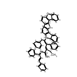 CC/C(=C\C(=C(/Cc1ccccc1)n1c2ccccc2c2c3sc4c(ccc5oc6ccccc6c54)c3ccc21)c1ccccc1)C(=N)/N=C(\C=C\c1ccccc1)c1ccccc1